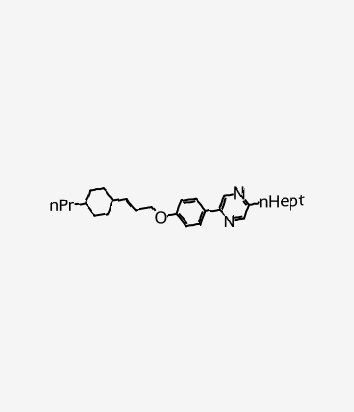 CCCCCCCc1cnc(-c2ccc(OCCCC3CCC(CCC)CC3)cc2)cn1